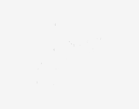 C1CNCCN1.O=P(O)(O)O.O=P(O)(O)OP(=O)(O)O